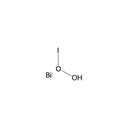 OOI.[Bi]